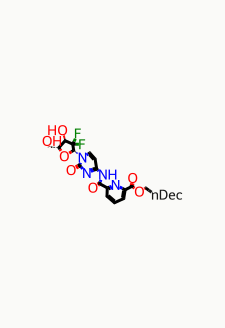 CCCCCCCCCCCOC(=O)c1cccc(C(=O)Nc2ccn([C@@H]3O[C@H](CO)[C@@H](O)C3(F)F)c(=O)n2)n1